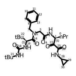 CCC[C@H](NC(=O)CN(Cc1ccccc1)C(=O)[C@@H](NC(=O)NC(C)(C)C)C(C)(C)C)C(=O)C(=O)NC1CC1